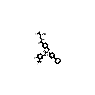 O=C(NC[C@@H](O)C(=O)O)c1ccc(CN(C(=O)Nc2ccc(F)c(C(F)(F)F)c2)c2ccc(C3=CCCCC3)cc2)cc1